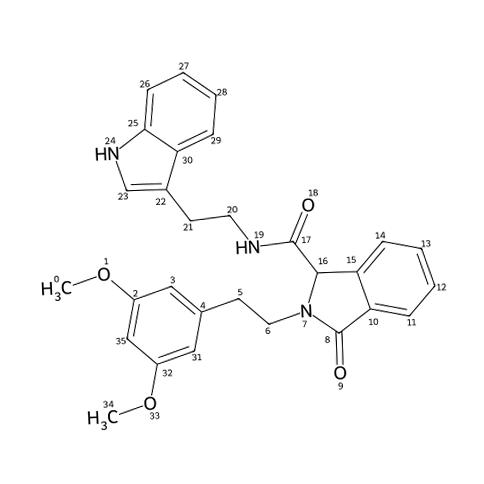 COc1cc(CCN2C(=O)c3ccccc3C2C(=O)NCCc2c[nH]c3ccccc23)cc(OC)c1